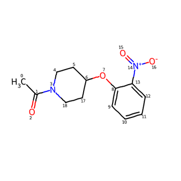 CC(=O)N1CCC(Oc2ccccc2[N+](=O)[O-])CC1